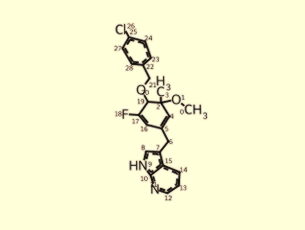 COC1(C)C=C(Cc2c[nH]c3ncccc23)C=C(F)C1OCc1ccc(Cl)cc1